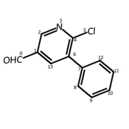 O=Cc1cnc(Cl)c(-c2ccccc2)c1